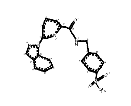 CS(=O)(=O)c1ccc(CNC(=O)c2cccc(-n3ncc4ccccc43)n2)cc1